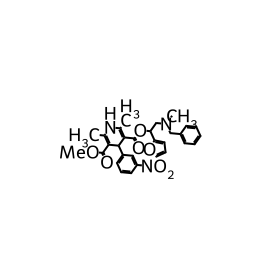 COC(=O)C1=C(C)NC(C)=C(C(=O)OC(CN(C)Cc2ccccc2)c2ccco2)C1c1cccc([N+](=O)[O-])c1